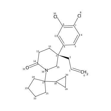 C=CC[C@]1(c2ccc(Cl)c(Cl)c2)CCC(=O)N(C2(C3CC3)CCCC2)C1